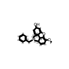 COC1=C2OC3=CC(O)C=CC34CCN(Cc3ccccc3)CC(C=C1)C24